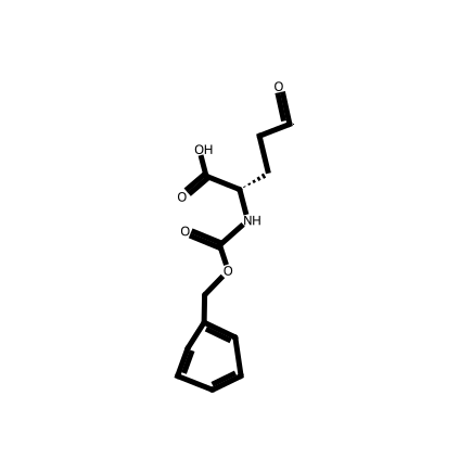 O=[C]CC[C@H](NC(=O)OCc1ccccc1)C(=O)O